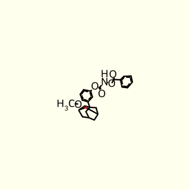 COc1ccc(OC(=O)NOC(=O)c2ccccc2)cc1C12CC3CC(CC(C3)C1)C2